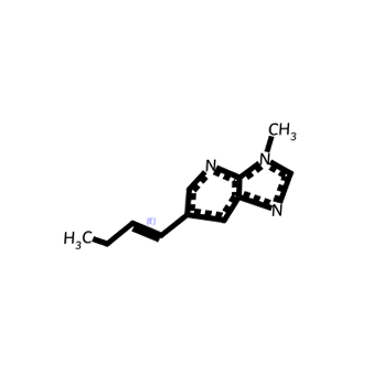 CC/C=C/c1cnc2c(c1)ncn2C